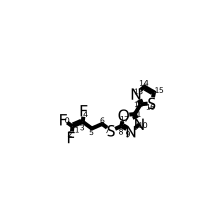 FC(F)=C(F)CCSc1nnc(-c2nccs2)o1